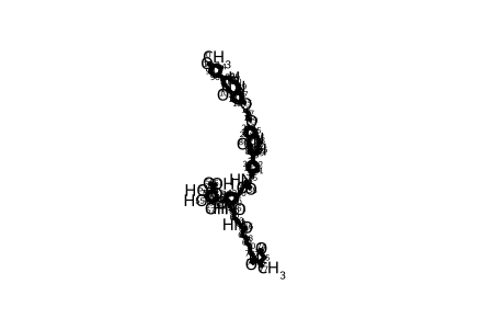 COc1ccc(C2=CN3C(=O)c4ccc(OCCCOc5ccc6c(c5)N=C[C@@H]5CC(c7ccc(CNC(=O)OCc8ccc(O[C@@H]9OC(C(=O)O)[C@@H](O)C(O)[C@@H]9O)c(NC(=O)CCNC(=O)CCCCCN9C(=O)CC(C)C9=O)c8)cc7)=CN5C6=O)cc4N=C[C@@H]3C2)cc1